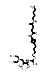 CCN(CN)CC(C)C(NC(C)OOCCCC1C2CC1C2NC(=O)CCC(=O)NCCCCN)OC